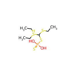 CCSC(SP(O)(O)=S)[SH](CC)CC